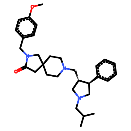 COc1ccc(CN2CC3(CCN(C[C@H]4CN(CC(C)C)C[C@@H]4c4ccccc4)CC3)CC2=O)cc1